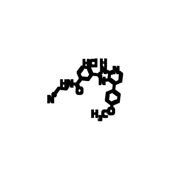 COc1ccc(-c2ccnc3[nH]c(-c4cccc(C(=O)NCCC#N)c4)nc23)cc1.Cl